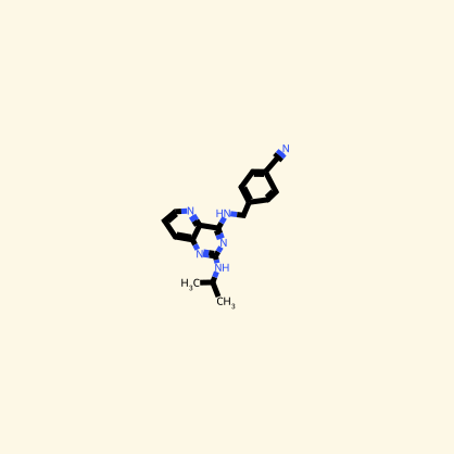 CC(C)Nc1nc(NCc2ccc(C#N)cc2)c2ncccc2n1